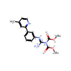 Cc1ccnc(-c2cccc(/N=C(\N)N(C(=O)OC(C)(C)C)C(=O)OC(C)(C)C)c2)c1